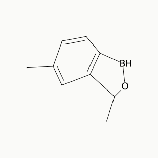 Cc1ccc2c(c1)C(C)OB2